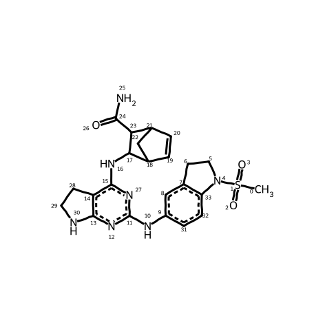 CS(=O)(=O)N1CCc2cc(Nc3nc4c(c(NC5C6C=CC(C6)C5C(N)=O)n3)CCN4)ccc21